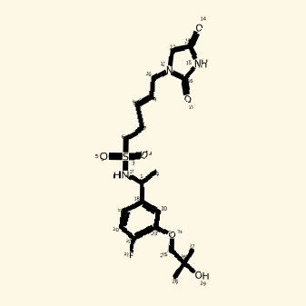 CC(NS(=O)(=O)CCCCCN1CC(=O)NC1=O)c1ccc(F)c(OCC(C)(C)O)c1